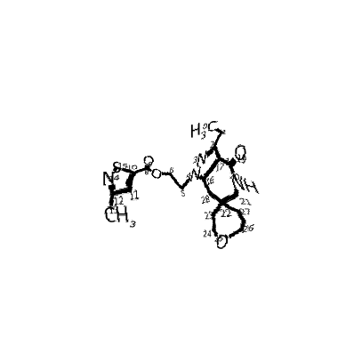 CCc1nn(CCOC(=O)c2cc(C)ns2)c2c1C(=O)NCC1(CCOCC1)C2